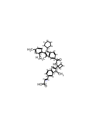 Cc1ccc(-c2c(C)c3cc(C(=O)NC4(c5nc6ccc(/C=C/C(=O)O)cc6n5C)CCC4)ccc3n2C2CCCCC2)c(C)n1